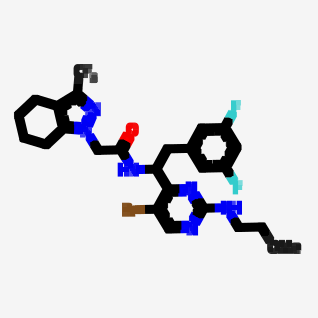 COCCNc1ncc(Br)c(C(Cc2cc(F)cc(F)c2)NC(=O)Cn2nc(C(F)(F)F)c3c2CCCC3)n1